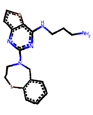 NCCCNc1nc(N2CCSc3ccccc3C2)nc2ccsc12